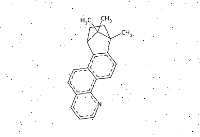 CC12CCC(c3c1ccc1c3ccc3cccnc31)C2(C)C